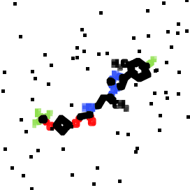 C=C(CCNC(=O)CO[C@H]1C[C@@H](OC(F)(F)F)C1)n1cnc(-c2ccc(F)cc2C)c1